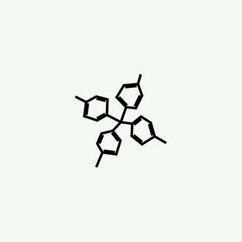 Cc1ccc(C(c2ccc(C)cc2)(c2ccc(C)cc2)c2ccc(C)cc2)cc1